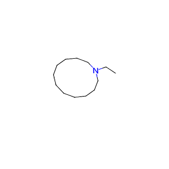 CCN1CCCCCCCCCCC1